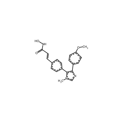 COc1ccc(-c2ncn(C)c2-c2ccc(C=CC(=O)NO)cc2)cc1